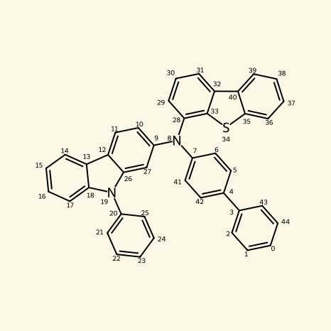 c1ccc(-c2ccc(N(c3ccc4c5ccccc5n(-c5ccccc5)c4c3)c3cccc4c3sc3ccccc34)cc2)cc1